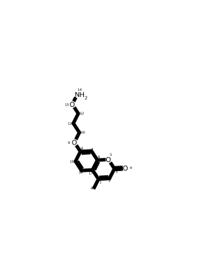 Cc1cc(=O)oc2cc(OCCCON)ccc12